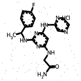 CC(Nc1nc(NCC(N)=O)cc(Nc2cnccn2)n1)c1ccc(F)cc1.Cl